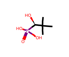 CC(C)(C)[C@H](O)P(=O)(O)O